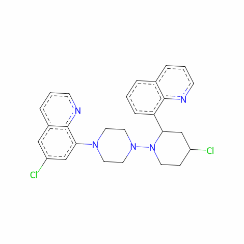 Clc1cc(N2CCN(N3CCC(Cl)CC3c3cccc4cccnc34)CC2)c2ncccc2c1